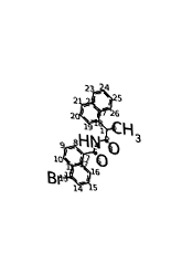 CC(C(=O)NC(=O)c1cccc2c(Br)cccc12)c1cccc2ccccc12